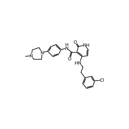 CN1CCN(c2ccc(NC(=O)c3c(NCCc4cccc(Cl)c4)cc[nH]c3=O)cc2)CC1